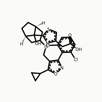 O=C(O)Cc1csc(C2(O)[C@@H]3CC[C@H]2CC(OCc2c(-c4c(Cl)cccc4Cl)noc2C2CC2)C3)n1